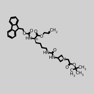 C=CCOC(=O)[C@@H](CCCCNC(=O)NC1CN(CC(=O)OC(C)(C)C)C1)NC(=O)OCC1c2ccccc2-c2ccccc21